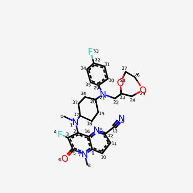 CN(c1c(F)c(=O)n(C)c2ccc(C#N)nc12)C1CCC(N(CC2COCCO2)c2ccc(F)cc2)CC1